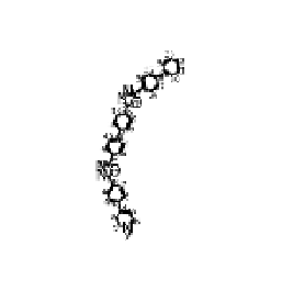 C[n+]1ccc(-c2ccc(-c3nnc(-c4ccc(-c5ccc(-c6nnc(-c7ccc(-c8ccccc8)cc7)o6)cc5)cc4)o3)cc2)cc1